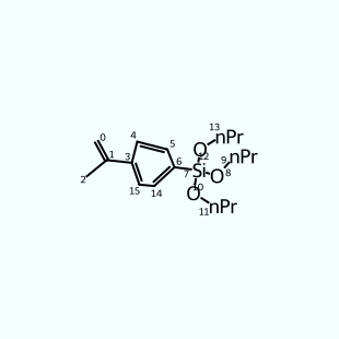 C=C(C)c1ccc([Si](OCCC)(OCCC)OCCC)cc1